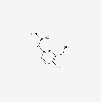 CCc1ccc(OC(N)=O)cc1CN